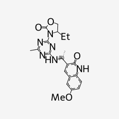 CCC1COC(=O)N1c1nc(C)nc(N[C@H](C)c2cc3cc(OC)ccc3[nH]c2=O)n1